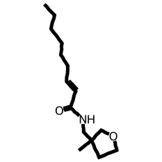 CCCCCCC=CC(=O)NCC1(C)CCOC1